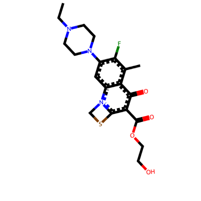 CCN1CCN(c2cc3c(c(C)c2F)c(=O)c(C(=O)OCCO)c2n3CS2)CC1